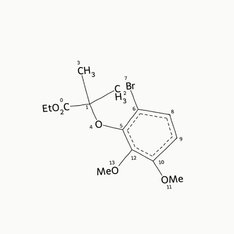 CCOC(=O)C(C)(C)Oc1c(Br)ccc(OC)c1OC